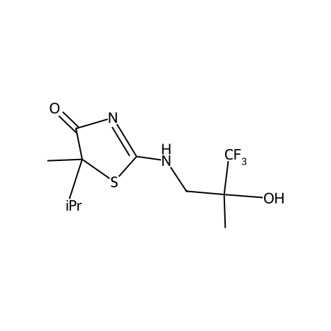 CC(C)C1(C)SC(NCC(C)(O)C(F)(F)F)=NC1=O